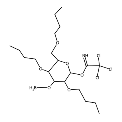 BOC1C(OCCCC)C(COCCCC)OC(OC(=N)C(Cl)(Cl)Cl)C1OCCCC